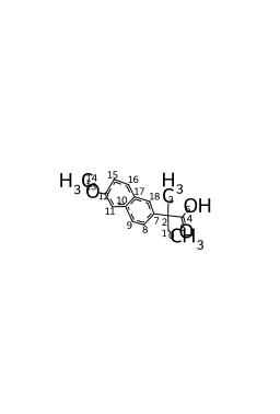 CCC(C)(C(=O)O)c1ccc2cc(OC)ccc2c1